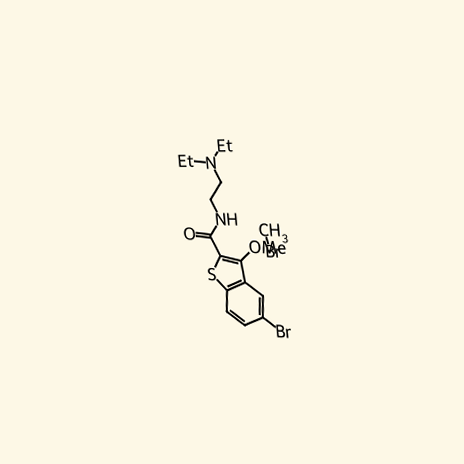 CBr.CCN(CC)CCNC(=O)c1sc2ccc(Br)cc2c1OC